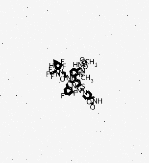 Cn1nc(NS(C)(=O)=O)c2cccc(-c3cc4sc(N5CCC6(CC5)CNC(=O)O6)nc4nc3[C@H](Cc3cc(F)cc(F)c3)NC(=O)Cn3nc(C(F)(F)F)c4c3C(F)(F)C3C[C@H]43)c21